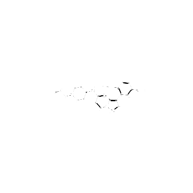 CN(c1ccn2ncc(-c3cc(O)ccc3F)c2n1)C1CCN(CCO)CC1